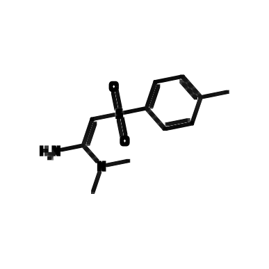 Cc1ccc(S(=O)(=O)C=C(N)N(C)C)cc1